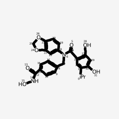 CC(C)c1cc(C(=O)N(Cc2ccc(C(=O)NO)cc2)c2ccc3c(c2)OCO3)c(O)cc1O